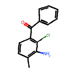 Cc1ccc(C(=O)c2ccccc2)c(Cl)c1N